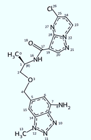 C[C@H](COCc1cc(N)c2nnn(C)c2c1)NC(=O)c1cnn2ccc(Cl)nc12